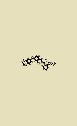 O=C(O)C1CCCCN1C(=O)C=Cc1ccc(Sc2ccc3c(c2)OCCO3)cc1C(F)(F)F